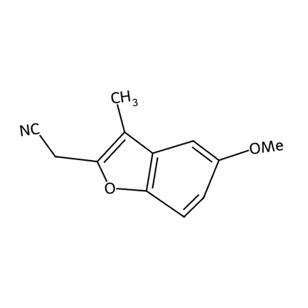 COc1ccc2oc(CC#N)c(C)c2c1